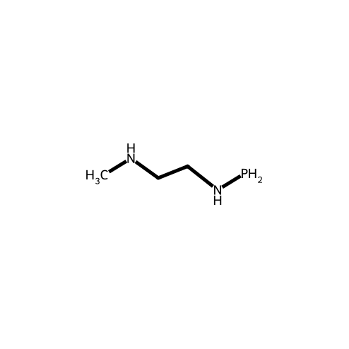 CNCCNP